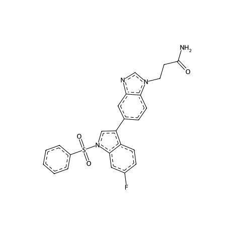 NC(=O)CCn1cnc2cc(-c3cn(S(=O)(=O)c4ccccc4)c4cc(F)ccc34)ccc21